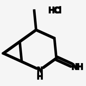 CC1CC(=N)NC2CC12.Cl